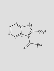 CNC(=O)c1c(C(=O)O)[nH]c2ccccc12